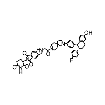 O=C1CCC(N2C(=O)c3cc4c(cc3C2=O)CN(CC(=O)N2CCC3(CC2)CCN(c2ccc([C@@H]5c6ccc(O)cc6CC[C@@H]5c5ccc(F)cc5)cc2)C3)C4)C(=O)N1